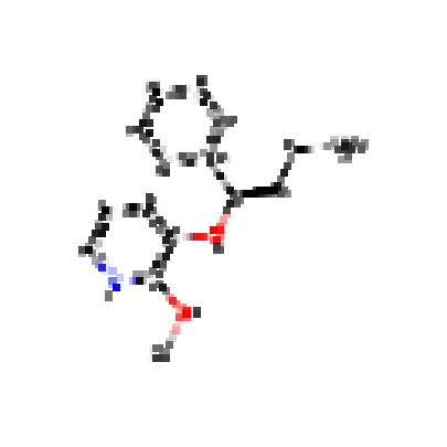 CCOc1ncccc1O[C@H](CCNC)c1ccccc1